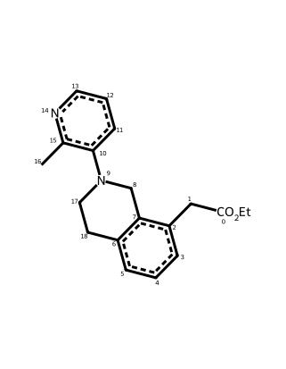 CCOC(=O)Cc1cccc2c1CN(c1cccnc1C)CC2